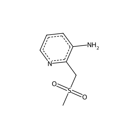 CS(=O)(=O)Cc1ncccc1N